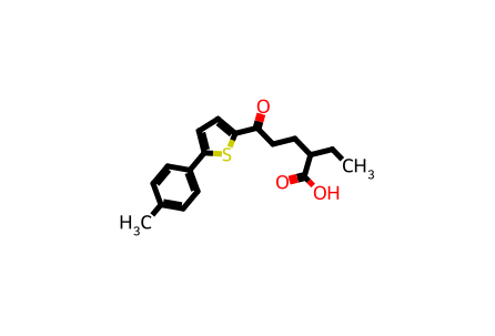 CCC(CCC(=O)c1ccc(-c2ccc(C)cc2)s1)C(=O)O